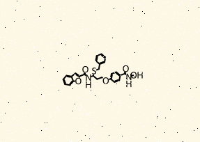 O=C(NO)c1ccc(OCCC(NC(=O)c2cc3ccccc3o2)SCc2ccccc2)cc1